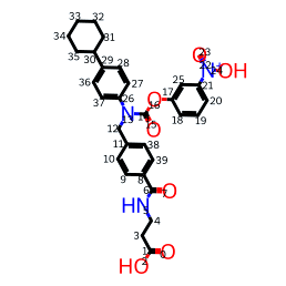 O=C(O)CCNC(=O)c1ccc(CN(C(=O)Oc2cccc([N+](=O)O)c2)c2ccc(C3CCCCC3)cc2)cc1